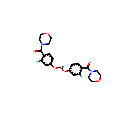 O=C(c1ccc(OBOc2ccc(C(=O)N3CCOCC3)c(F)c2)cc1F)N1CCOCC1